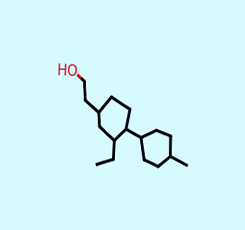 CCC1CC(CCO)CCC1C1CCC(C)CC1